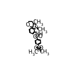 CN(CC1(C)CCOCC1)c1ccccc1NS(=O)(=O)c1ccc(S(=O)(=O)N(C)C)cc1